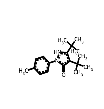 Cc1ccc(-n2[nH]c(C(C)(C)C)c(C(C)(C)C)c2=O)cc1